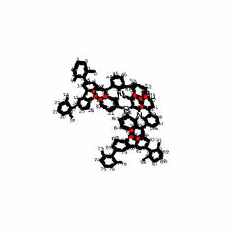 Cc1cccc(C)c1-c1ccc2c(c1)c1cc(-c3c(C)cccc3C)ccc1n2-c1ccc2c(c1)N(c1c(-c3ccccc3)cccc1-c1ccccc1)c1cc(C(C)(C)C)cc3c1B2c1ccc(-n2c4ccc(-c5c(C)cccc5C)cc4c4cc(-c5c(C)cccc5C)ccc42)cc1N3c1c(-c2ccccc2)cccc1-c1ccccc1